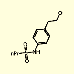 CCCS(=O)(=O)Nc1ccc(CC[O])cc1